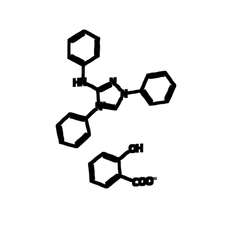 O=C([O-])c1ccccc1O.c1ccc(Nc2nn(-c3ccccc3)c[n+]2-c2ccccc2)cc1